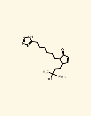 CCCCCC(C)(O)CCC1C=CC(=O)C1CCCCCCc1nnn[nH]1